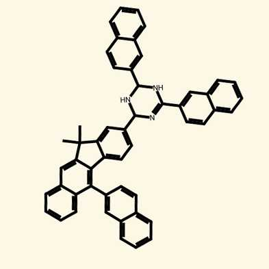 CC1(C)c2cc(C3N=C(c4ccc5ccccc5c4)NC(c4ccc5ccccc5c4)N3)ccc2-c2c1cc1ccccc1c2-c1ccc2ccccc2c1